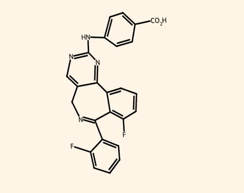 O=C(O)c1ccc(Nc2ncc3c(n2)-c2cccc(F)c2C(c2ccccc2F)=NC3)cc1